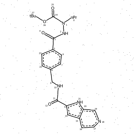 CCCN(NC(=O)c1ccc(CNC(=O)c2cc3ccncc3[nH]2)cc1)C(=O)OC(C)(C)C